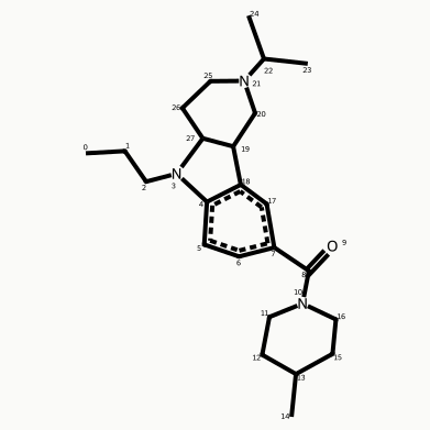 CCCN1c2ccc(C(=O)N3CCC(C)CC3)cc2C2CN(C(C)C)CCC21